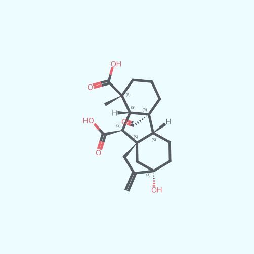 C=C1C[C@]23C[C@@]1(O)CC[C@H]2[C@]1(C=O)CCC[C@@](C)(C(=O)O)[C@H]1[C@@H]3C(=O)O